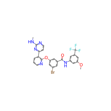 CNc1nccc(-c2cccnc2Oc2cc(Br)cc(C(=O)Nc3cc(OC)cc(C(F)(F)F)c3)c2)n1